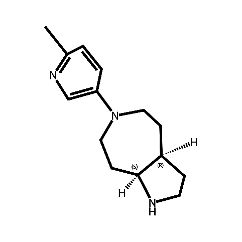 Cc1ccc(N2CC[C@H]3CCN[C@H]3CC2)cn1